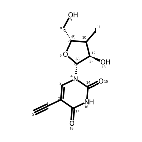 C#Cc1cn([C@@H]2O[C@H](CO)C(I)[C@H]2O)c(=O)[nH]c1=O